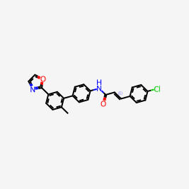 Cc1ccc(-c2ncco2)cc1-c1ccc(NC(=O)/C=C/c2ccc(Cl)cc2)cc1